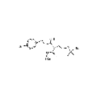 CC(C)(C)OC(=O)C(CCO[Si](C)(C)C(C)(C)C)C(O)CCc1ccc(Br)cc1